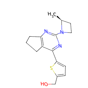 C[C@H]1CCN1c1nc2c(c(-c3ccc(CO)s3)n1)CCC2